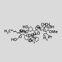 C=C/C=C/C=C(\C)C(C[C@@H]1CC[C@@H](C)[C@](O)(C(=O)C(=O)N2CCCC[C@H]2C(=O)O[C@@H](CC(=O)[C@H](C)/C=C(\C)[C@@H](O)[C@@H](OC)C(=O)[C@H](C)CC(C)C)[C@H](C)C[C@@H]2CC[C@@H](O)[C@H](OC)C2)O1)OCCO